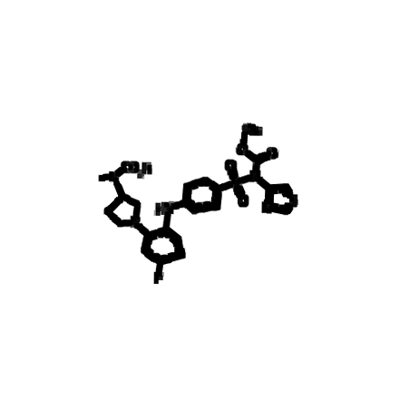 CN(C(=O)O)C1CCN(c2cc(F)ccc2Nc2ccc(S(=O)(=O)N(C(=O)OC(C)(C)C)c3cscn3)cc2)C1